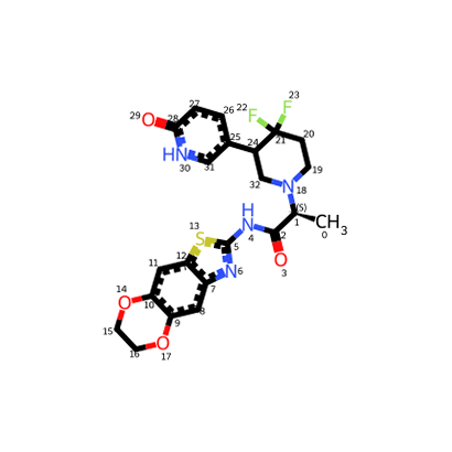 C[C@@H](C(=O)Nc1nc2cc3c(cc2s1)OCCO3)N1CCC(F)(F)C(c2ccc(=O)[nH]c2)C1